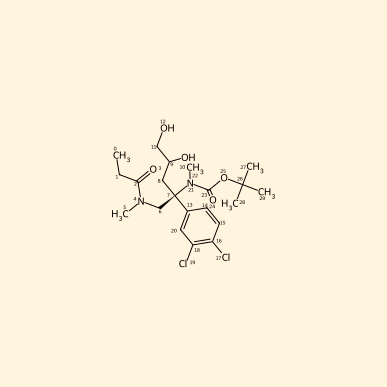 CCC(=O)N(C)C[C@](CC(O)CO)(c1ccc(Cl)c(Cl)c1)N(C)C(=O)OC(C)(C)C